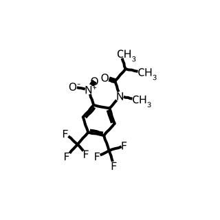 CC(C)C(=O)N(C)c1cc(C(F)(F)F)c(C(F)(F)F)cc1[N+](=O)[O-]